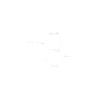 COc1cccc2c(C(C)(C)C)nc(C)cc12